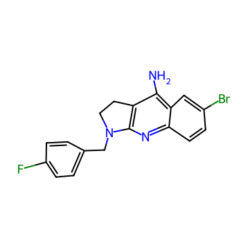 Nc1c2c(nc3ccc(Br)cc13)N(Cc1ccc(F)cc1)CC2